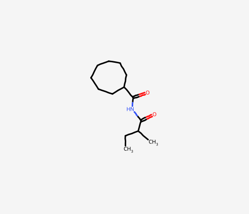 CCC(C)C(=O)NC(=O)C1CCCCCCC1